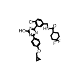 O=C(NCc1ccc(Cl)c(-c2nc(O)nc(-c3ccc(OCC4CC4)cc3)n2)c1)C1CCC(F)(F)CC1